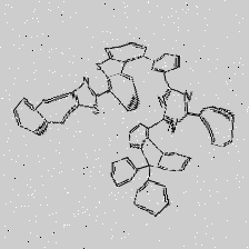 c1ccc(-c2nc(-c3cccc(-c4cccc5sc6c(-c7nc8cc9ccccc9cc8s7)cccc6c45)c3)nc(-c3cccc4c3-c3ccccc3C4(c3ccccc3)c3ccccc3)n2)cc1